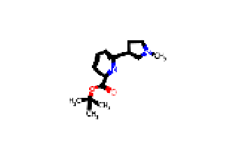 CN1CCC(c2cccc(C(=O)OC(C)(C)C)n2)C1